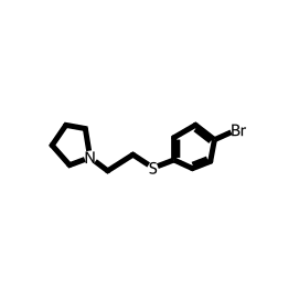 Brc1ccc(SCCN2CCCC2)cc1